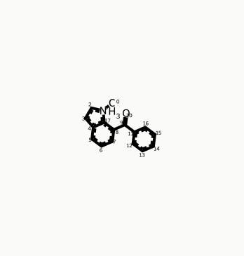 Cn1ccc2cccc(C(=O)c3ccccc3)c21